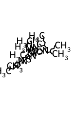 CCCCC(CC)CN(CC(CC)CCCC)c1ccc(N=Nc2sc(N=Nc3ccc(CC(C)C)cc3)c(C)c2C#N)c(NC(=O)C(C)CC)c1